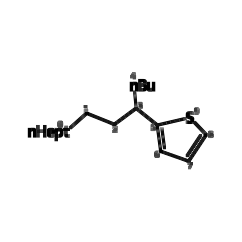 CCCCCCCCCC(CCCC)c1cccs1